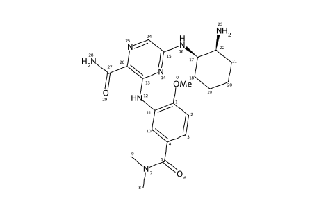 COc1ccc(C(=O)N(C)C)cc1Nc1nc(N[C@@H]2CCCC[C@@H]2N)cnc1C(N)=O